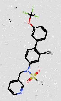 Cc1cc(N(Cc2cccnc2)S(C)(=O)=O)ccc1-c1cccc(OC(F)(F)F)c1